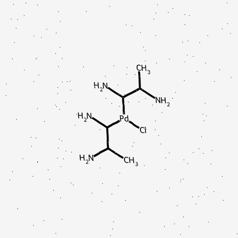 CC(N)[CH](N)[Pd]([Cl])[CH](N)C(C)N